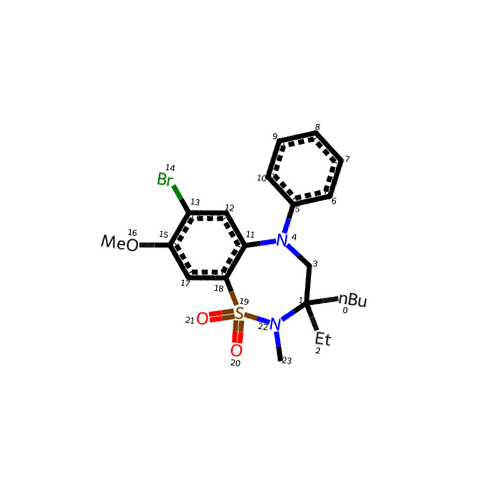 CCCCC1(CC)CN(c2ccccc2)c2cc(Br)c(OC)cc2S(=O)(=O)N1C